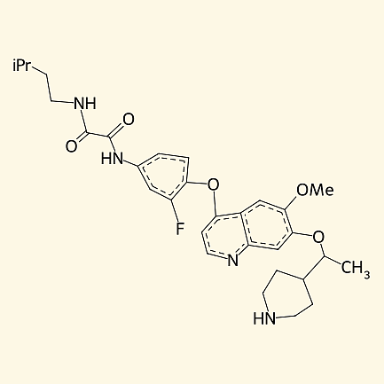 COc1cc2c(Oc3ccc(NC(=O)C(=O)NCCC(C)C)cc3F)ccnc2cc1OC(C)C1CCNCC1